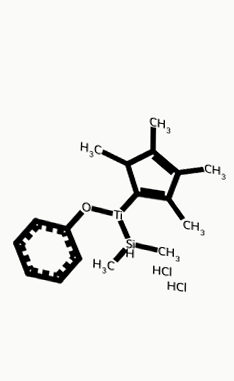 CC1=C(C)C(C)[C]([Ti]([O]c2ccccc2)[SiH](C)C)=C1C.Cl.Cl